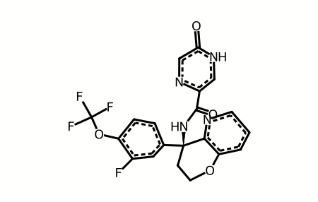 O=C(N[C@]1(c2ccc(OC(F)(F)F)c(F)c2)CCOc2cccnc21)c1c[nH]c(=O)cn1